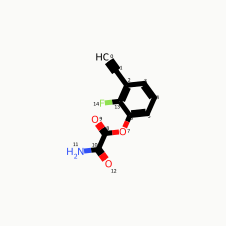 C#Cc1cccc(OC(=O)C(N)=O)c1F